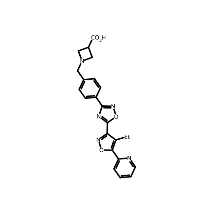 CCc1c(-c2nc(-c3ccc(CN4CC(C(=O)O)C4)cc3)no2)noc1-c1ccccn1